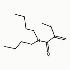 C=C(CC)C(=O)N(CCCC)CCCC